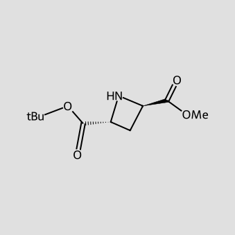 COC(=O)[C@H]1C[C@H](C(=O)OC(C)(C)C)N1